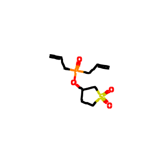 C=CCP(=O)(CC=C)OC1CCS(=O)(=O)C1